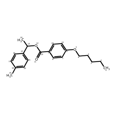 CCCCCOc1ccc(C(=O)OC(C)c2ccc(C)cc2)cc1